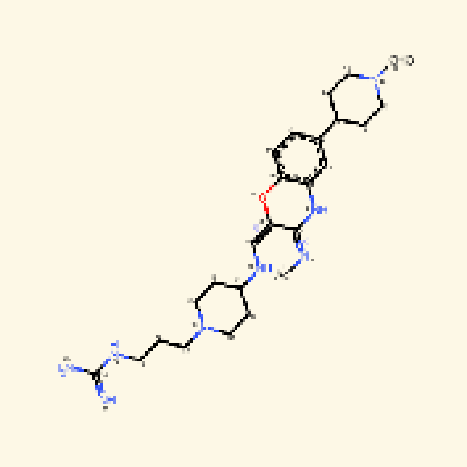 CC(=O)/N=C1/Nc2cc(C3CCN(C=O)CC3)ccc2O/C1=C/NC1CCN(CCCNC(=N)N)CC1